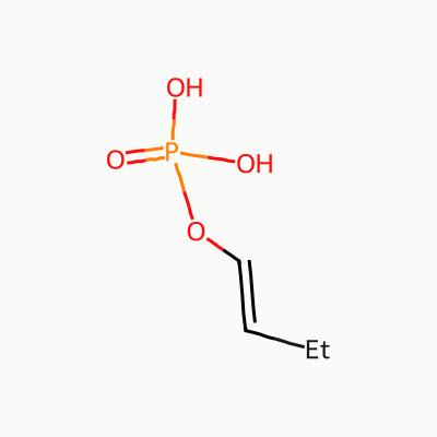 CC/C=C/OP(=O)(O)O